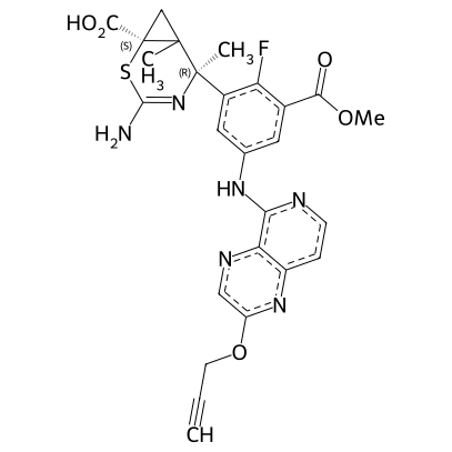 C#CCOc1cnc2c(Nc3cc(C(=O)OC)c(F)c([C@@]4(C)N=C(N)S[C@@]5(C(=O)O)CC54C)c3)nccc2n1